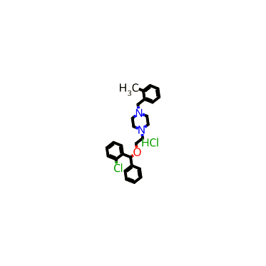 Cc1ccccc1CN1CCN(CCOC(c2ccccc2)c2ccccc2Cl)CC1.Cl